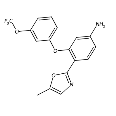 Cc1cnc(-c2ccc(N)cc2Oc2cccc(OC(F)(F)F)c2)o1